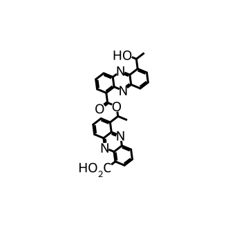 CC(O)c1cccc2nc3c(C(=O)OC(C)c4cccc5nc6c(C(=O)O)cccc6nc45)cccc3nc12